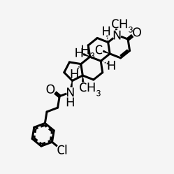 CN1C(=O)C=C[C@]2(C)[C@H]3CC[C@]4(C)[C@@H](NC(=O)CCc5cccc(Cl)c5)CC[C@H]4[C@@H]3CC[C@@H]12